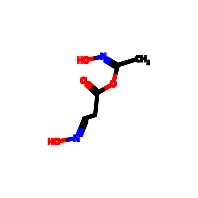 CC(=NO)OC(=O)CC=NO